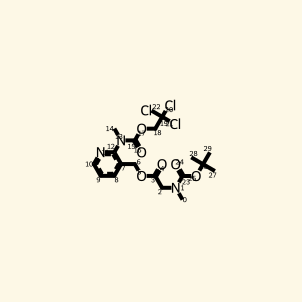 CN(CC(=O)OCc1cccnc1N(C)C(=O)OCC(Cl)(Cl)Cl)C(=O)OC(C)(C)C